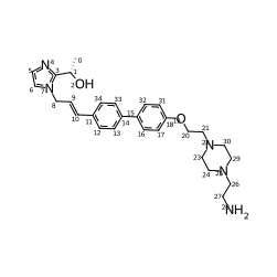 C[C@H](O)c1nccn1CC=Cc1ccc(-c2ccc(OCCN3CCN(CCN)CC3)cc2)cc1